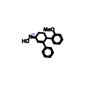 COc1ccccc1C1CC/C(=N/O)C=C1c1ccccc1